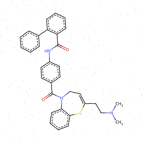 CN(C)CCC1=CCN(C(=O)c2ccc(NC(=O)c3ccccc3-c3ccccc3)cc2)c2ccccc2S1